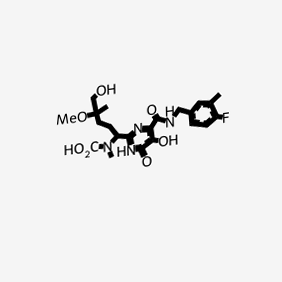 COC(C)(CO)CCC(c1nc(C(=O)NCc2ccc(F)c(C)c2)c(O)c(=O)[nH]1)N(C)C(=O)O